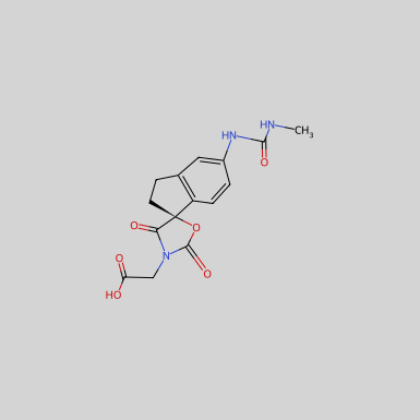 CNC(=O)Nc1ccc2c(c1)CC[C@]21OC(=O)N(CC(=O)O)C1=O